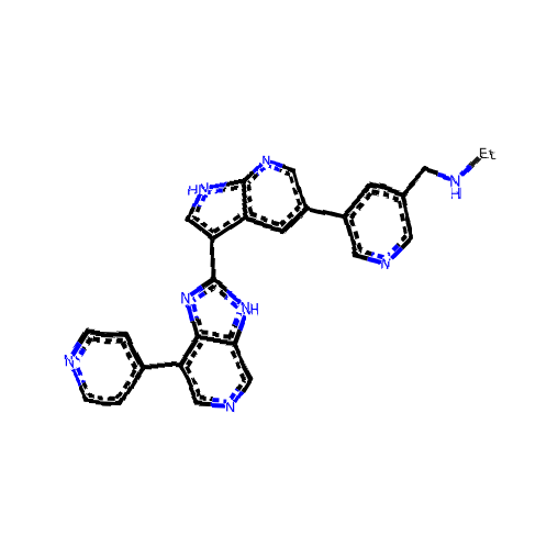 CCNCc1cncc(-c2cnc3[nH]cc(-c4nc5c(-c6ccncc6)cncc5[nH]4)c3c2)c1